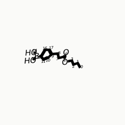 CCCCOC(=O)CCc1ccc(B(O)O)cc1